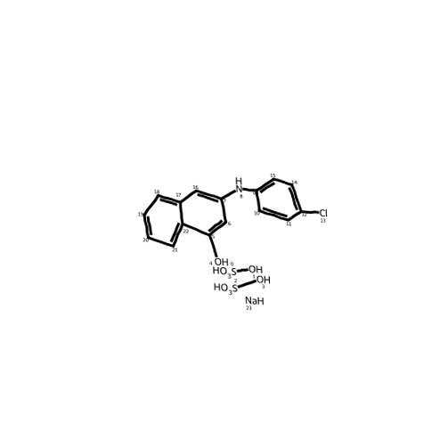 O=S(=O)(O)O.O=S(=O)(O)O.Oc1cc(Nc2ccc(Cl)cc2)cc2ccccc12.[NaH]